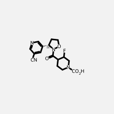 N#Cc1cncc([C@@H]2CCON2C(=O)C2CCN(C(=O)O)CC2F)c1